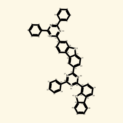 c1ccc(-c2nc(-c3ccccc3)nc(-c3ccc4c(c3)sc3ccc(-c5nc(-c6ccccc6)nc(-c6cccc7c6oc6ccccc67)n5)cc34)n2)cc1